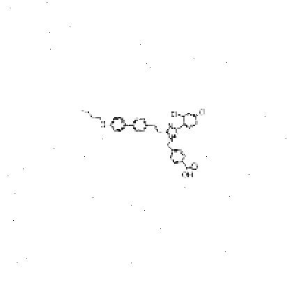 CCCCOc1ccc(-c2ccc(C=Cc3nc(-c4ccc(Cl)cc4Cl)cn3Cc3ccc(C(=O)O)cc3)cc2)cc1